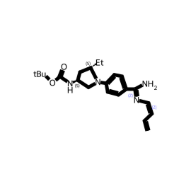 C=C/C=C\N=C(/N)c1ccc(N2C[C@@H](NC(=O)OC(C)(C)C)C[C@@H]2CC)cc1